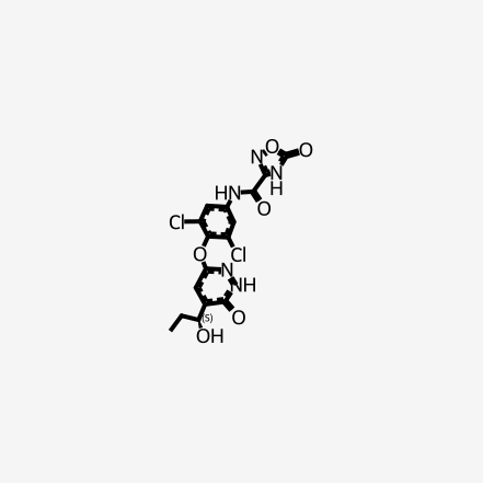 CC[C@H](O)c1cc(Oc2c(Cl)cc(NC(=O)c3noc(=O)[nH]3)cc2Cl)n[nH]c1=O